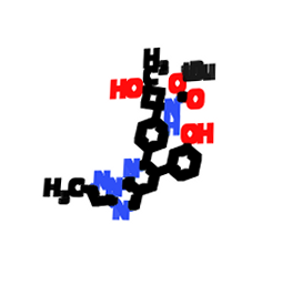 Cc1cc2ncc3cc(-c4cccc(O)c4)c(-c4ccc(C5(NC(=O)OC(C)(C)C)CC(C)(O)C5)cc4)nc3n2n1